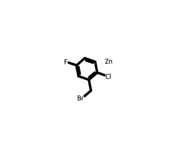 Fc1ccc(Cl)c(CBr)c1.[Zn]